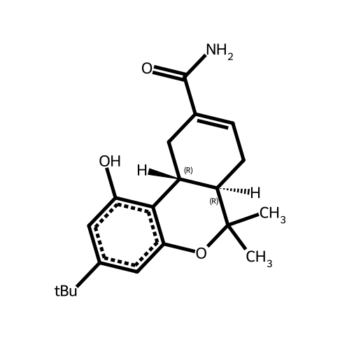 CC(C)(C)c1cc(O)c2c(c1)OC(C)(C)[C@@H]1CC=C(C(N)=O)C[C@@H]21